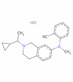 CC(C1CC1)N1CCc2ccc(N(C)c3ccccc3C#N)cc2C1.Cl